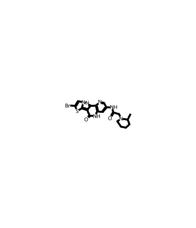 CC1CCCCN1CC(=O)Nc1cnc2c(c1)[nH]c(=O)c1c2nn2cc(Br)sc12